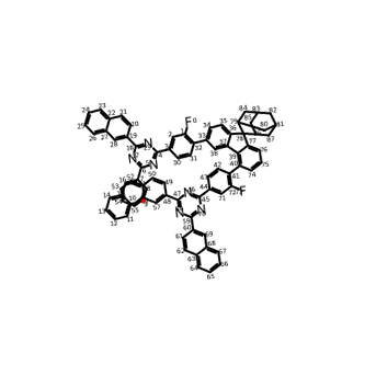 Fc1cc(-c2nc(-c3ccc4ccccc4c3)nc(-c3ccc4ccccc4c3)n2)ccc1-c1ccc2c(c1)-c1c(-c3ccc(-c4nc(-c5ccc6ccccc6c5)nc(-c5ccc6ccccc6c5)n4)cc3F)cccc1C21C2CC3CC(C2)CC1C3